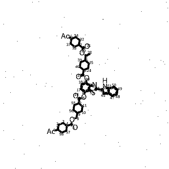 CC(=O)C1CCC(C(=O)OCC2CCC(C(=O)Oc3ccc(OC(=O)C4CCC(C(C)OC(=O)C5CCC(C(C)=O)CC5)CC4)c4nc(-c5cc6ccccc6[nH]5)sc34)CC2)CC1